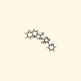 O=C(Nc1nnc(-c2ccccn2)[nH]1)c1ccc2ccccc2n1